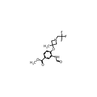 COC(=O)c1ccc(OC2(C)CN(CC(F)(F)F)C2)c(NC=O)c1